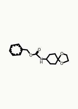 O=C(NC1CCC2(CC1)OCCO2)OCc1ccccc1